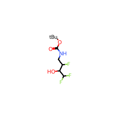 CC(C)(C)OC(=O)NCC(F)C(O)C(F)F